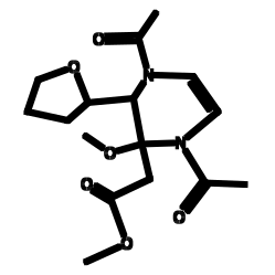 COC(=O)CC1(OC)C(C2CCCO2)N(C(C)=O)C=CN1C(C)=O